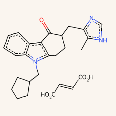 Cc1[nH]cnc1CC1CCc2c(c3ccccc3n2CC2CCCC2)C1=O.O=C(O)C=CC(=O)O